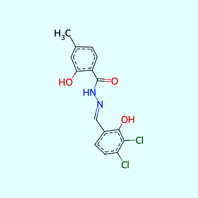 Cc1ccc(C(=O)N/N=C/c2ccc(Cl)c(Cl)c2O)c(O)c1